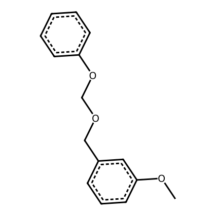 COc1cccc(COCOc2ccccc2)c1